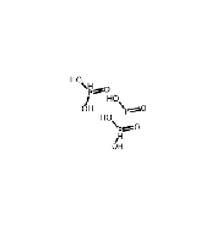 O=PO.O=[PH](O)O.O=[PH](O)O